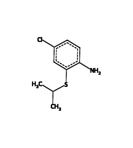 CC(C)Sc1cc(Cl)ccc1N